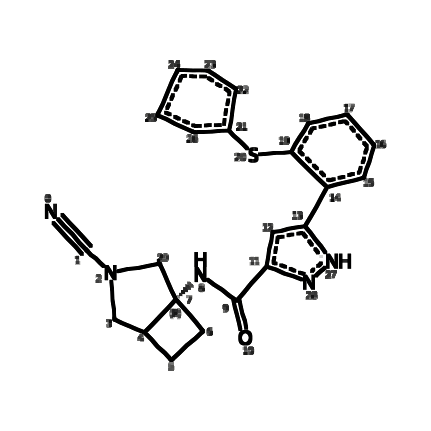 N#CN1CC2CC[C@]2(NC(=O)c2cc(-c3ccccc3Sc3ccccc3)[nH]n2)C1